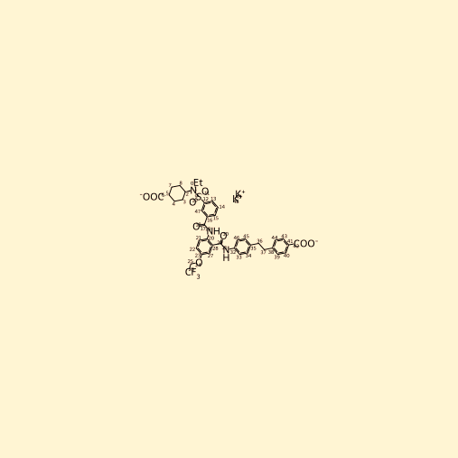 CCN([C@H]1CC[C@H](C(=O)[O-])CC1)S(=O)(=O)c1cccc(C(=O)Nc2ccc(OCC(F)(F)F)cc2C(=O)Nc2ccc(CCc3ccc(C(=O)[O-])cc3)cc2)c1.[K+].[K+]